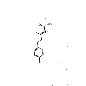 C/C(CCc1ccc(F)cc1)=N\[S@+]([O-])C(C)(C)C